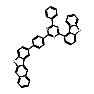 c1ccc(-c2nc(-c3ccc(-c4ccc5sc6cc7ccccc7cc6c5c4)cc3)nc(-c3cccc4oc5ccccc5c34)n2)cc1